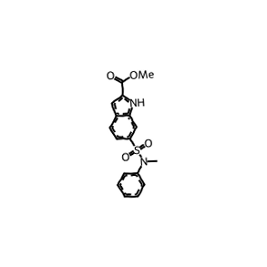 COC(=O)c1cc2ccc(S(=O)(=O)N(C)c3ccccc3)cc2[nH]1